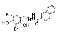 O=C(N/N=C/c1cc(Br)c(O)c(Br)c1O)c1ccc2ccccc2c1